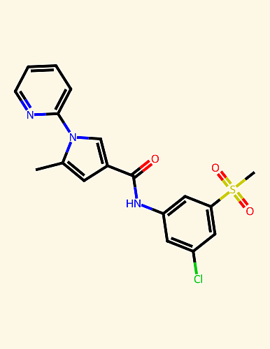 Cc1cc(C(=O)Nc2cc(Cl)cc(S(C)(=O)=O)c2)cn1-c1ccccn1